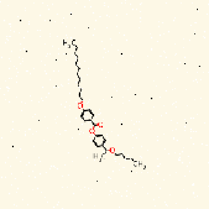 CCCCCCCCCCCCOc1ccc(C(=O)Oc2ccc(C(C)OCCCCC)cc2)cc1